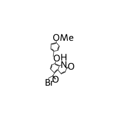 COc1ccc(COc2ccc(C(=O)CBr)c3ccc(=O)[nH]c23)cc1